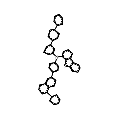 c1ccc(-c2ccc(-c3cccc(N(c4ccc(-c5ccc6c(-c7ccccc7)cccc6c5)cc4)c4cccc5c4sc4ccccc45)c3)cc2)cc1